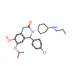 CCCN[C@H]1CC[C@H](N2C(=O)Cc3cc(OC)c(OC(C)C)cc3C2c2ccc(Cl)cc2)CC1